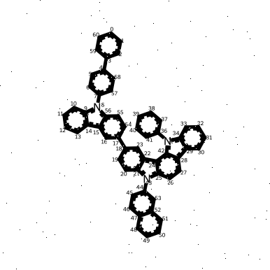 c1ccc(-c2ccc(-n3c4ccccc4c4cc(-c5ccc6c(c5)c5c(ccc7c8ccccc8n(-c8ccccc8)c75)n6-c5ccc6ccccc6c5)ccc43)cc2)cc1